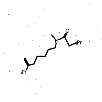 C=C(CCCCCN(C)C(=O)CC(C)C)C(C)C